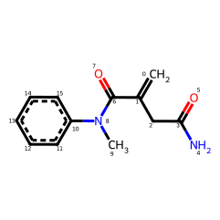 C=C(CC(N)=O)C(=O)N(C)c1ccccc1